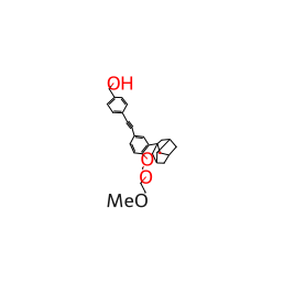 COCCOCOc1ccc(C#Cc2ccc(CO)cc2)cc1C12CC3CC(CC(C3)C1)C2